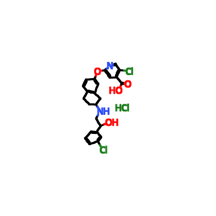 Cl.O=C(O)c1cc(Oc2ccc3c(c2)C[C@@H](NC[C@@H](O)c2cccc(Cl)c2)CC3)ncc1Cl